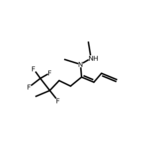 C=C/C=C(/CCC(C)(F)C(F)(F)F)N(C)NC